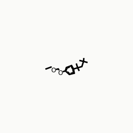 CCOCOc1ccc(C(C)(C)CC(C)(C)C)cc1